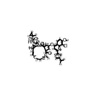 COc1ccc2c(OC3CC4C(=O)N(C)CCCC/C=C\[C@@H]5C[C@@]5(C(=O)NS(=O)(=O)C5(C)CC5)NC(=O)[C@@H]4C3)cc(-c3nc(C(C)C)cs3)nc2c1Cl